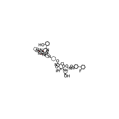 CC(C)[C@@H](C(=O)N1C[C@H](O)C[C@H]1C(=O)NOc1ccc(-c2ccccc2F)cc1)c1onc(O[C@H]2CC[C@@H](N3CCC(c4cnc(N5C6CCC5CN(c5c[nH]c7nnc(-c8ccccc8O)cc57)C6)nc4)CC3)CC2)c1Cl